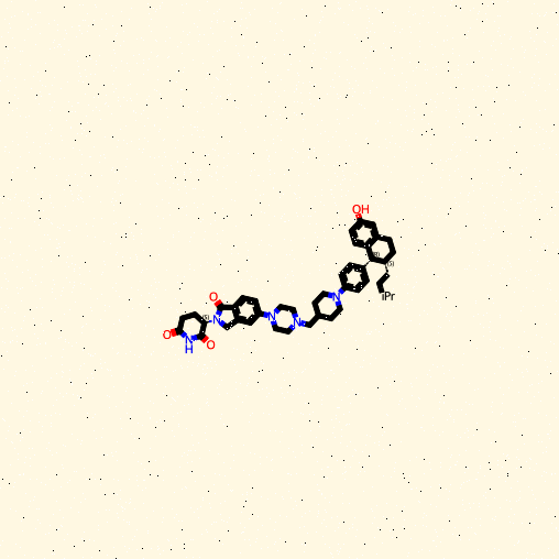 CC(C)CC[C@H]1CCc2cc(O)ccc2[C@H]1c1ccc(N2CCC(CN3CCN(c4ccc5c(c4)CN([C@H]4CCC(=O)NC4=O)C5=O)CC3)CC2)cc1